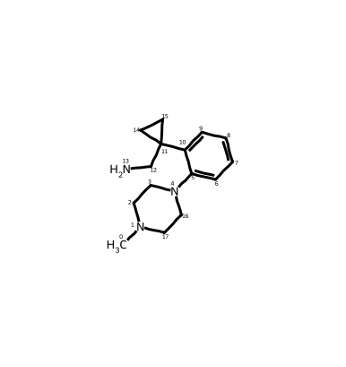 CN1CCN(c2ccccc2C2(CN)CC2)CC1